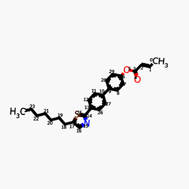 C/C=C/C(=O)Oc1ccc(-c2ccc(-c3ncc(CCCCCCC)s3)cc2)cc1